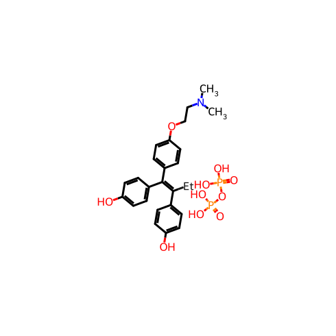 CCC(=C(c1ccc(O)cc1)c1ccc(OCCN(C)C)cc1)c1ccc(O)cc1.O=P(O)(O)OP(=O)(O)O